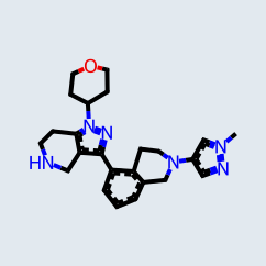 Cn1cc(N2CCc3c(cccc3-c3nn(C4CCOCC4)c4c3CNCC4)C2)cn1